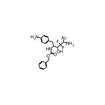 CC(=O)C(N)C(F)(F)C(O)C(Cc1ccc(N)cc1)NC(=O)OCc1ccccc1